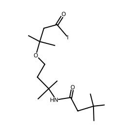 CC(C)(C)CC(=O)NC(C)(C)CCOC(C)(C)CC(=O)I